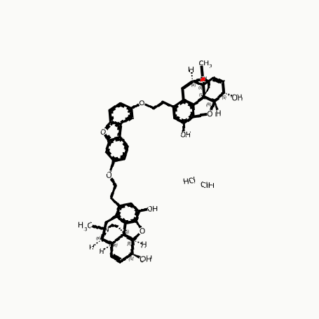 CN1CC[C@]23c4c5c(CCOc6ccc7c(c6)oc6ccc(OCCc8cc(O)c9c%10c8C[C@@H]8[C@@H]%11C=C[C@H](O)[C@H](O9)[C@]%10%11CCN8C)cc67)cc(O)c4O[C@H]2[C@@H](O)C=C[C@H]3[C@H]1C5.Cl.Cl